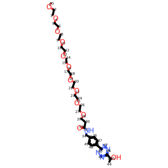 COCCOCCOCCOCCOCCOCCOCCOCCOCCOCCC(=O)NCc1ccc(-c2nnc(C(C)O)nn2)cc1